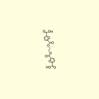 O=C(O)c1ccc(C(=O)OCCOC(=O)c2ccc(C(=O)O)o2)o1